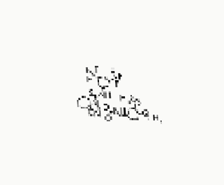 COc1ccc(CNC(=O)OC2=NOC3(CCCCC3)N2C(=S)Nc2cc(C(F)(F)F)cc(C(F)(F)F)c2)cc1OC